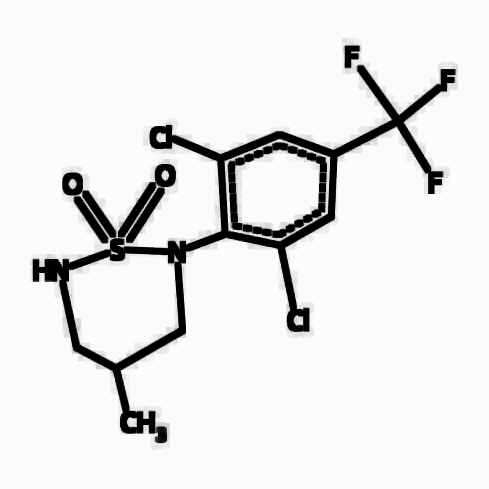 CC1CNS(=O)(=O)N(c2c(Cl)cc(C(F)(F)F)cc2Cl)C1